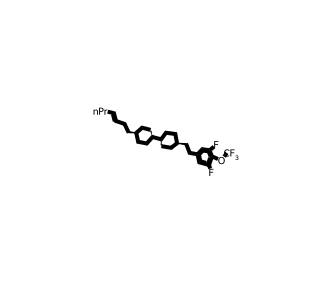 CCC/C=C/CC[C@H]1CC[C@H]([C@H]2CC[C@H](CCc3cc(F)c(OC(F)(F)F)c(F)c3)CC2)CC1